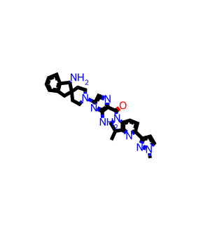 CC1CN(C(=O)c2ncc(N3CCC4(CC3)Cc3ccccc3C4N)nc2N)c2ccc(-c3ccn(C)n3)nc21